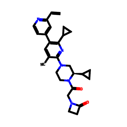 C=Cc1cc(-c2cc(C#N)c(N3CCN(C(=O)CN4CCC4=O)[C@H](C4CC4)C3)nc2C2CC2)ccn1